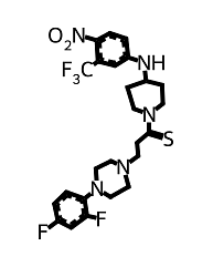 O=[N+]([O-])c1ccc(NC2CCN(C(=S)CCN3CCN(c4ccc(F)cc4F)CC3)CC2)cc1C(F)(F)F